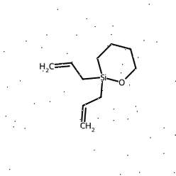 C=CC[Si]1(CC=C)CCCCO1